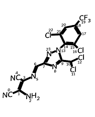 N#C/C(N)=C(C#N)/N=C/c1nc(C(Cl)Cl)n(-c2c(Cl)cc(C(F)(F)F)cc2Cl)n1